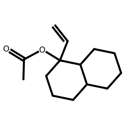 C=CC1(OC(C)=O)CCCC2CCCCC21